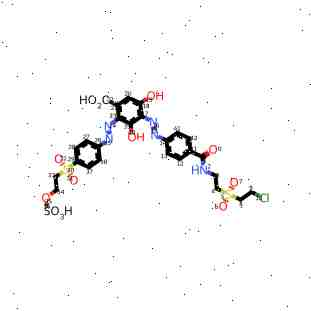 O=C(NCCS(=O)(=O)CCCl)c1ccc(N=Nc2c(O)cc(C(=O)O)c(N=Nc3ccc(S(=O)(=O)CCOS(=O)(=O)O)cc3)c2O)cc1